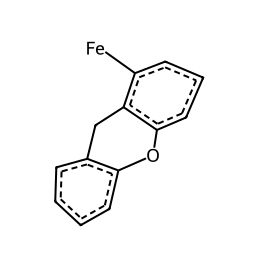 [Fe][c]1cccc2c1Cc1ccccc1O2